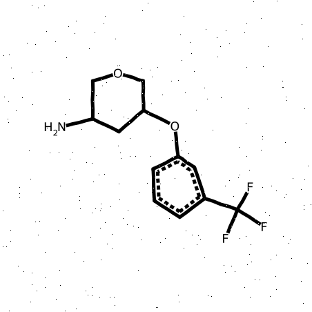 NC1COCC(Oc2cccc(C(F)(F)F)c2)C1